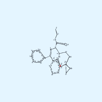 CCOC(=O)C(N=C(c1ccccc1)c1ccccc1)C1CCC2(CC1)CC2